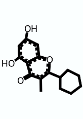 Cc1c(C2CCCCC2)oc2cc(O)cc(O)c2c1=O